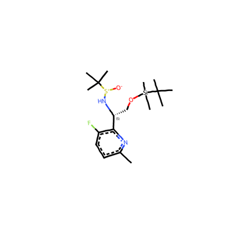 Cc1ccc(F)c([C@@H](CO[Si](C)(C)C(C)(C)C)N[S+]([O-])C(C)(C)C)n1